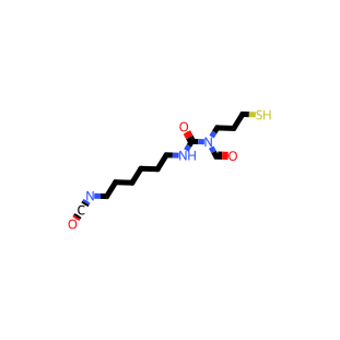 O=C=NCCCCCCNC(=O)N(C=O)CCCS